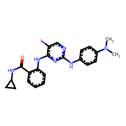 CN(C)c1ccc(Nc2ncc(I)c(Nc3ccccc3C(=O)NC3CC3)n2)cc1